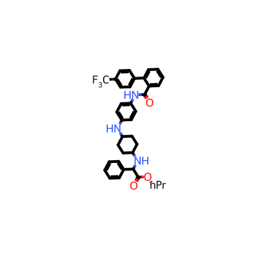 CCCOC(=O)C(NC1CCC(Nc2ccc(NC(=O)c3ccccc3-c3ccc(C(F)(F)F)cc3)cc2)CC1)c1ccccc1